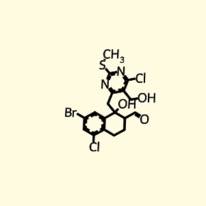 CSc1nc(Cl)c(CO)c(CC2(O)c3cc(Br)cc(Cl)c3CCC2C=O)n1